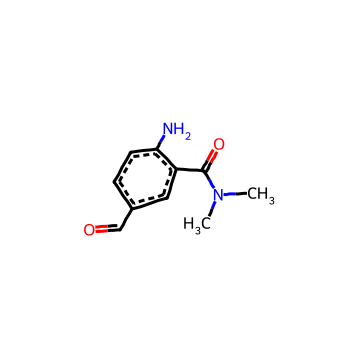 CN(C)C(=O)c1cc(C=O)ccc1N